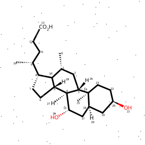 C[C@@H]1C[C@H]2[C@H]([C@@H]3CC[C@H]([C@H](C)CCC(=O)O)C13)[C@@H](O)C[C@@H]1C[C@H](O)CC[C@@]12C